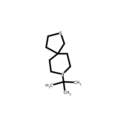 CC(C)(C)N1CCC2(CCSC2)CC1